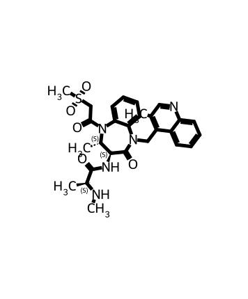 CN[C@@H](C)C(=O)N[C@@H]1C(=O)N(Cc2c(C)cnc3ccccc23)c2ccccc2N(C(=O)CS(C)(=O)=O)[C@H]1C